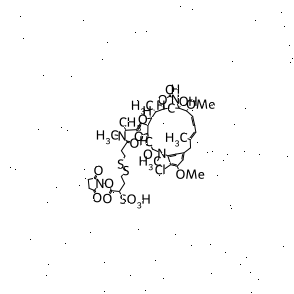 COc1cc2cc(c1Cl)N(C)C(=O)C[C@@H]1OC([C@H](C)N(C)C(=O)CCSSCCC(C(=O)ON3C(=O)CCC3=O)S(=O)(=O)O)=C[C@]13O[C@H]3[C@H](C)[C@@H]1C[C@@](O)(NC(=O)O1)[C@H](OC)/C=C/C=C(\C)C2